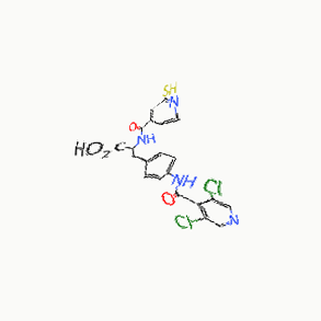 O=C(N[C@@H](Cc1ccc(NC(=O)c2c(Cl)cncc2Cl)cc1)C(=O)O)c1ccnc(S)c1